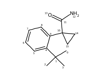 CC(C)(C)c1ccccc1C1(C(N)=O)CC1